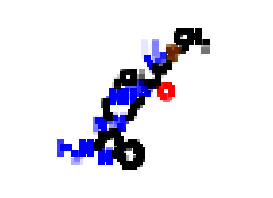 [CH2]CSC[C@H](N)C(=O)NCCCn1c(CNCC)nc2c(N)nc3ccccc3c21